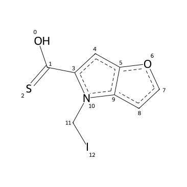 OC(=S)c1cc2occc2n1CI